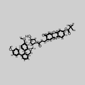 COc1ccc(-c2cccc(COC[C@@H]3C[C@@H](O)CN3C(=O)CCc3cc4nc5ccc(OC(=O)C(C)(C)C)cc5oc-4cc3=O)c2-c2ccc(OC)cc2)cc1